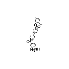 Cc1ccc(C(C)OC(=O)N2CCN(C3CCN(C(=O)c4ccc5[nH]nnc5c4)CC3)CC2)cc1C